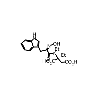 CCN(C(=O)C(Cc1c[nH]c2ccccc12)=NO)[C@@](CC)(CC(=O)O)C(=O)O